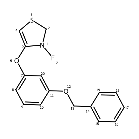 FN1CSC=C1Oc1cccc(OCc2ccccc2)c1